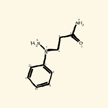 NC(=O)CCN(N)c1ccccc1